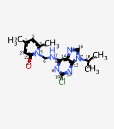 Cc1cc(C)n(CNc2nc(Cl)nc3c2ncn3C(C)C)c(=O)c1